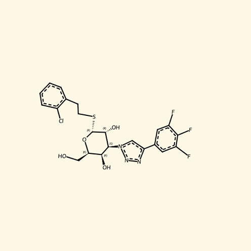 OC[C@H]1O[C@H](SCCc2ccccc2Cl)[C@H](O)[C@@H](n2cc(-c3cc(F)c(F)c(F)c3)nn2)[C@H]1O